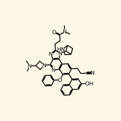 CN(C)C(=O)CCc1nc2c(N3CC(N(C)C)C3)nc3c(Oc4ccccc4)c(-c4cc(O)cc5ccccc45)c(CCC#N)cc3c2n1C1C2CNC1C2